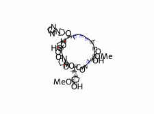 CO[C@@H]1C[C@H](C[C@@H](C)[C@@H]2CC(=O)[C@H](C)/C=C(\C)[C@@H](O)[C@@H](OC)C(=O)[C@H](C)C[C@H](C)/C=C/C=C/C=C(\C)[C@H](OC3CCN(c4ncccn4)CC3)C[C@@H]3CC[C@@H](C)[C@@](O)(O3)C(=O)C(=O)N3CCCC[C@H]3C(=O)O2)CC[C@H]1O